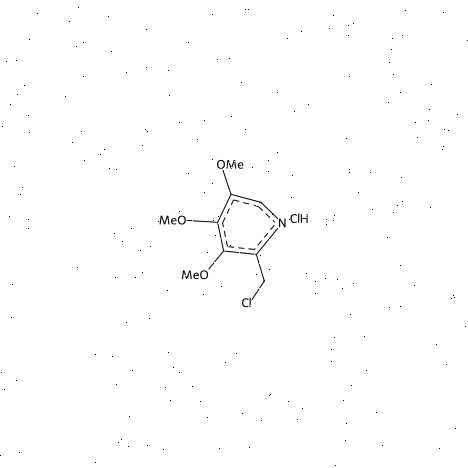 COc1cnc(CCl)c(OC)c1OC.Cl